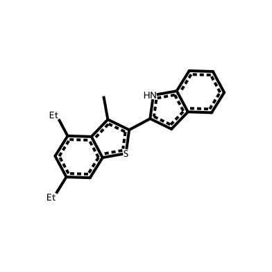 CCc1cc(CC)c2c(C)c(-c3cc4ccccc4[nH]3)sc2c1